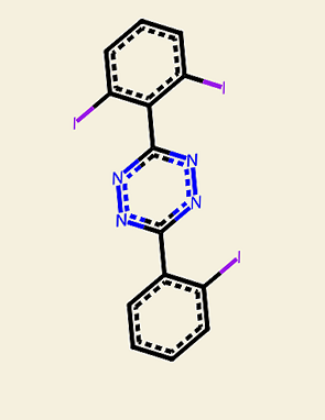 Ic1ccccc1-c1nnc(-c2c(I)cccc2I)nn1